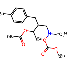 CC(C)(C)OC(=O)ON(CC(Cc1ccc(C(C)(C)C)cc1)C(OC(=O)C(C)(C)C)C(C)(C)C)C(=O)O